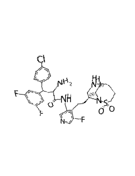 NC(C(=O)Nc1cncc(F)c1CC[C@H]1CN[C@@H]2CCCS(=O)(=O)N1C2)C(c1ccc(Cl)cc1)c1cc(F)cc(F)c1